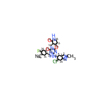 Cn1cc2cc(Nc3nc(=O)n(Cc4ccc[nH]c4=O)c(=O)n3Cc3ccc(F)c(C#N)c3)c(Cl)cc2n1